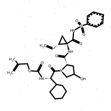 C=C[C@@H]1C[C@]1(NC(=O)[C@@H]1CC(O)CN1C(=O)[C@@H](NC(=O)OCC(=C)C)C1CCCCC1)C(=O)NS(=O)(=O)c1ccccc1